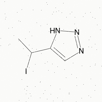 CC(I)c1cnn[nH]1